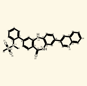 CN(c1ccccc1-c1ccc2c(c1)Nc1ccc(-c3cnc4ccccc4c3)cc1NC2=O)S(C)(=O)=O